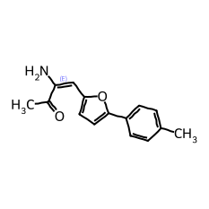 CC(=O)/C(N)=C\c1ccc(-c2ccc(C)cc2)o1